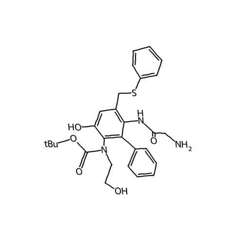 CC(C)(C)OC(=O)N(CCO)c1c(O)cc(CSc2ccccc2)c(NC(=O)CN)c1-c1ccccc1